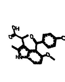 COc1ccc2[nH]c(C)c(C(C)C(=O)O)c2c1C(=O)c1ccc(Cl)cc1